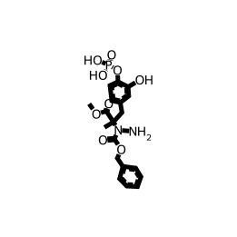 COC(=O)C(C)(Cc1ccc(OP(=O)(O)O)c(O)c1)N(N)C(=O)OCc1ccccc1